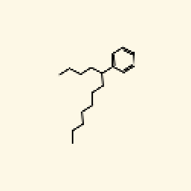 [CH2]CCCC(CCCCCCC)c1ccccc1